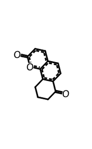 O=C1CCCc2c1ccc1ccc(=O)oc21